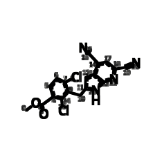 COC(=O)c1ccc(Cl)c(Cc2cc3c(C#N)cc(C#N)nc3[nH]2)c1Cl